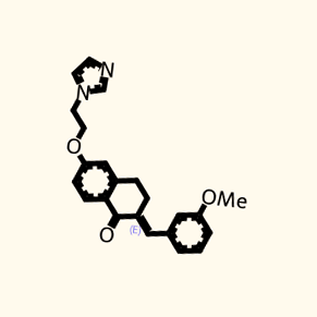 COc1cccc(/C=C2\CCc3cc(OCCn4ccnc4)ccc3C2=O)c1